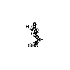 CC(C1CC1)N(Cc1ccccc1)C(=O)CN1C(=O)O[C@]2(CCc3cc(NC4CN(C(=O)OC(C)(C)C)C4)ccc32)C1=O